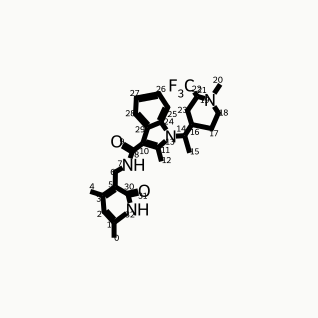 Cc1cc(C)c(CNC(=O)c2c(C)n(C(C)C3CCN(C)C(C(F)(F)F)C3)c3ccccc23)c(=O)[nH]1